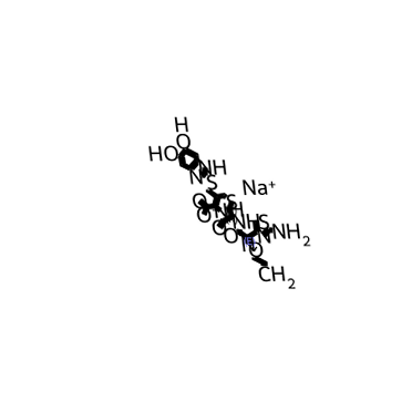 C=CCO/N=C(/C(=O)N[C@@H]1C(=O)N2C(C(=O)[O-])=C(CSc3nc4cc(O)c(O)cc4[nH]3)CS[C@H]12)c1csc(N)n1.[Na+]